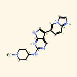 CN1CCC(Nc2ncc3c(-c4ccc5nccn5c4)c[nH]c3n2)CC1